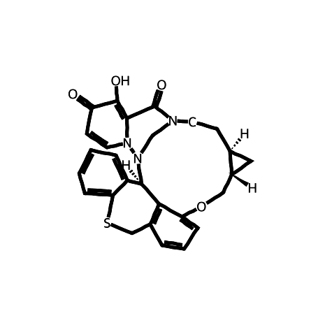 O=C1c2c(O)c(=O)ccn2N2CN1CC[C@H]1C[C@@H]1COc1cccc3c1[C@H]2c1ccccc1SC3